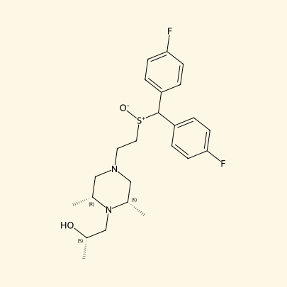 C[C@H](O)CN1[C@H](C)CN(CC[S+]([O-])C(c2ccc(F)cc2)c2ccc(F)cc2)C[C@@H]1C